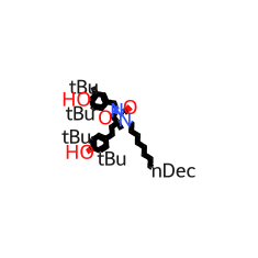 CCCCCCCCCCCCCCCCCCN1C(=O)N(Cc2cc(C(C)(C)C)c(O)c(C(C)(C)C)c2)C(=O)C1(C)CCc1cc(C(C)(C)C)c(O)c(C(C)(C)C)c1